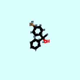 CC(O)(c1ccccc1)c1ccc(Br)cc1